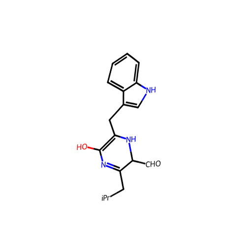 CC(C)CC1=NC(O)=C(Cc2c[nH]c3ccccc23)NC1C=O